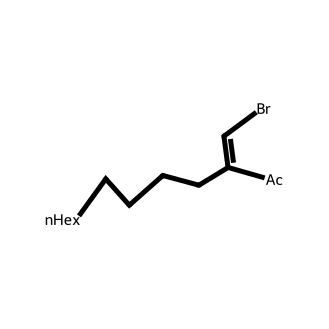 CCCCCCCCCC/C(=C/Br)C(C)=O